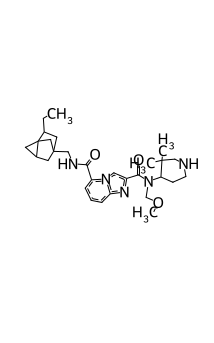 CCC1CC2(CNC(=O)c3cccc4nc(C(=O)N(COC)C5CCNCC5(C)C)cn34)CC3CC13C2